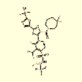 CC[C@H](NS(=O)(=O)c1ccc(-c2sc(-c3nnc(C(C)(C)O)o3)nc2C(=O)N2CCCC(F)(F)CC2)c(F)c1C(F)F)C(F)(F)F